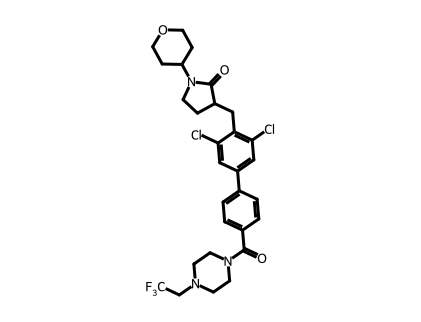 O=C(c1ccc(-c2cc(Cl)c(CC3CCN(C4CCOCC4)C3=O)c(Cl)c2)cc1)N1CCN(CC(F)(F)F)CC1